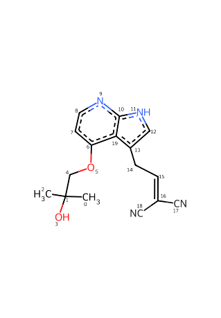 CC(C)(O)COc1ccnc2[nH]cc(CC=C(C#N)C#N)c12